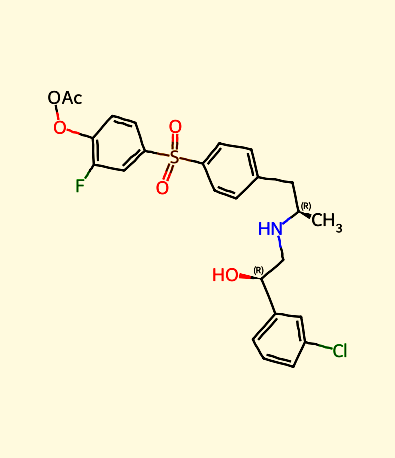 CC(=O)OOc1ccc(S(=O)(=O)c2ccc(C[C@@H](C)NC[C@H](O)c3cccc(Cl)c3)cc2)cc1F